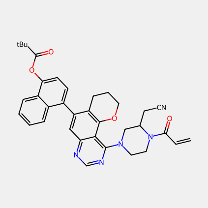 C=CC(=O)N1CCN(c2ncnc3cc(-c4ccc(OC(=O)C(C)(C)C)c5ccccc45)c4c(c23)OCCC4)CC1CC#N